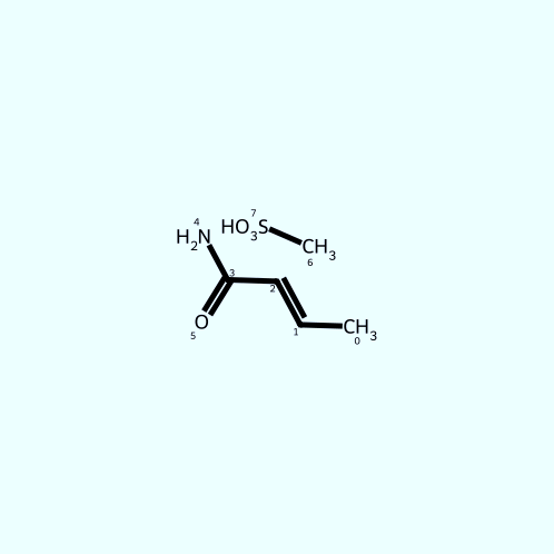 CC=CC(N)=O.CS(=O)(=O)O